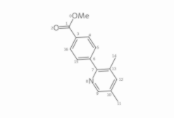 COC(=O)c1ccc(-c2ncc(C)cc2C)cc1